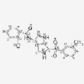 Cc1cccc(S(=O)(=O)C2NCc3c(NC(=O)c4ccccc4Cl)n[nH]c32)c1